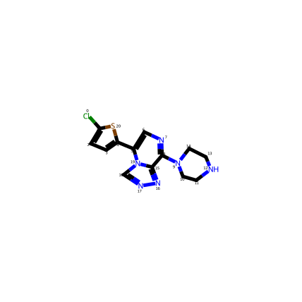 Clc1ccc(-c2cnc(N3CCNCC3)c3nncn23)s1